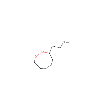 CCCCCCCCC1CCCCCOO1